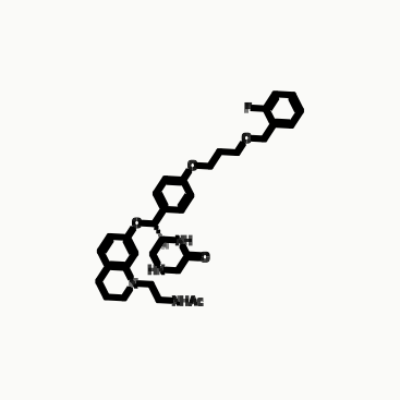 CC(=O)NCCN1CCCc2ccc(OC(c3ccc(OCCCOCc4ccccc4F)cc3)[C@H]3CNCC(=O)N3)cc21